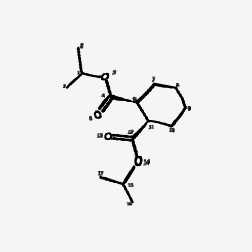 CC(C)OC(=O)[C@H]1CCCC[C@H]1C(=O)OC(C)C